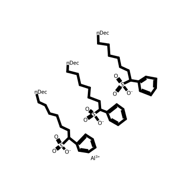 CCCCCCCCCCCCCCCCC(c1ccccc1)S(=O)(=O)[O-].CCCCCCCCCCCCCCCCC(c1ccccc1)S(=O)(=O)[O-].CCCCCCCCCCCCCCCCC(c1ccccc1)S(=O)(=O)[O-].[Al+3]